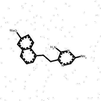 COc1ccc2c(CCc3ncc(N)nc3N)cccc2c1